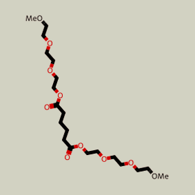 COCCOCCOCCOC(=O)CCCCC(=O)OCCOCCOCCOC